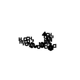 Cc1cc(OCCN2CCN(C(=O)OC(C)(C)C)CC2)ncc1/C=N/c1c(NCc2ccccc2Cl)ncnc1OC1(C)CC1